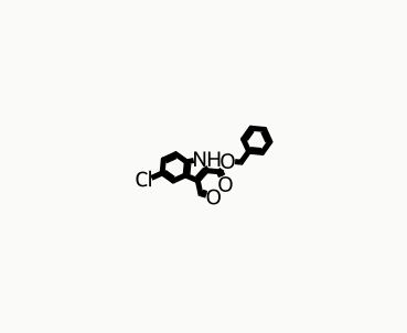 O=Cc1c(C(=O)OCc2ccccc2)[nH]c2ccc(Cl)cc12